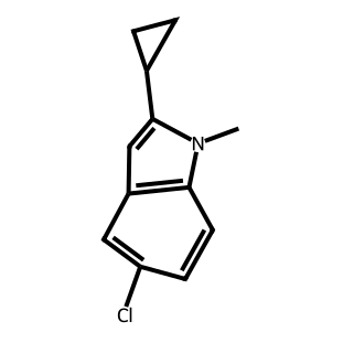 Cn1c(C2CC2)cc2cc(Cl)ccc21